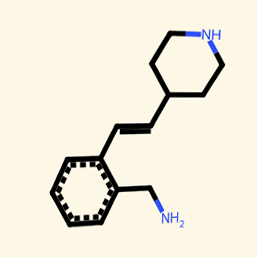 NCc1ccccc1C=CC1CCNCC1